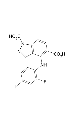 O=C(O)c1ccc2c(cnn2C(=O)O)c1Nc1ccc(I)cc1F